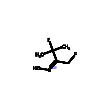 CC(C)(F)/C(CF)=N\O